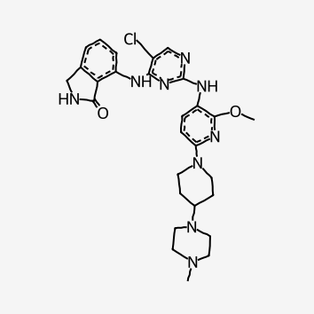 COc1nc(N2CCC(N3CCN(C)CC3)CC2)ccc1Nc1ncc(Cl)c(Nc2cccc3c2C(=O)NC3)n1